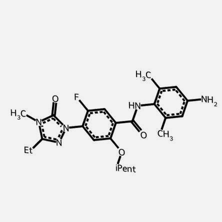 CCCC(C)Oc1cc(-n2nc(CC)n(C)c2=O)c(F)cc1C(=O)Nc1c(C)cc(N)cc1C